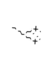 CCOCCN(CCPC(C)(OC)OC)CCPC(C)(OC)OC